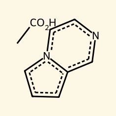 CC(=O)O.c1cc2cnccn2c1